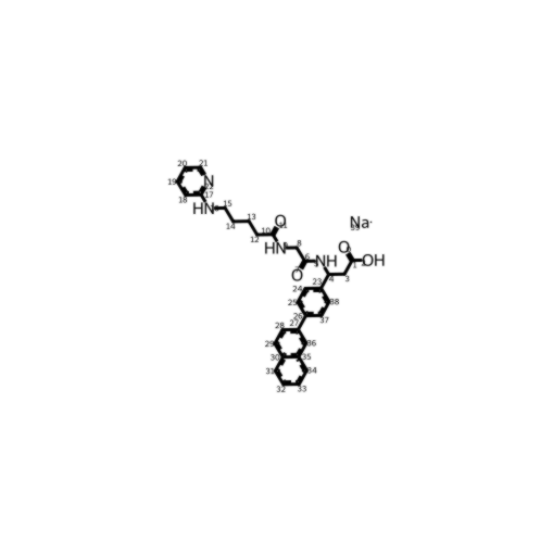 O=C(O)CC(NC(=O)CNC(=O)CCCCNc1ccccn1)c1ccc(-c2ccc3ccccc3c2)cc1.[Na]